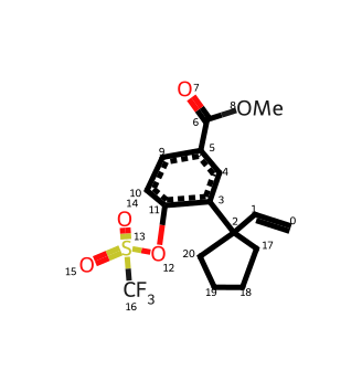 C=CC1(c2cc(C(=O)OC)ccc2OS(=O)(=O)C(F)(F)F)CCCC1